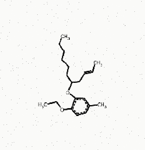 CC=CCC(CCCCCC)Oc1cc(C)ccc1OCC